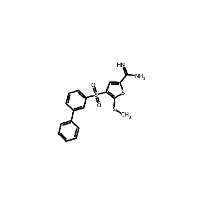 CSc1sc(C(=N)N)cc1S(=O)(=O)c1cccc(-c2ccccc2)c1